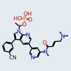 CC(OP(=O)(O)O)n1cc(-c2cccc(C#N)c2)c2cc(-c3cncc(N(C)C(=O)/C=C/CN(C)C)c3)cnc21